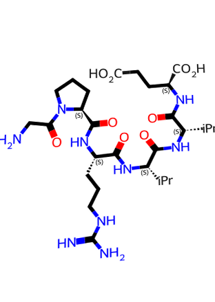 CC(C)[C@H](NC(=O)[C@H](CCCNC(=N)N)NC(=O)[C@@H]1CCCN1C(=O)CN)C(=O)N[C@H](C(=O)N[C@@H](CCC(=O)O)C(=O)O)C(C)C